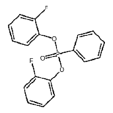 O=P(Oc1ccccc1F)(Oc1ccccc1F)c1ccccc1